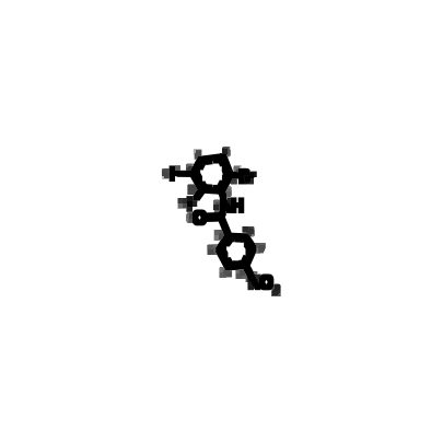 O=C(Nc1c(Br)ccc(F)c1F)c1ccc([N+](=O)[O-])cc1